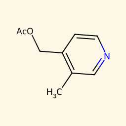 CC(=O)OCc1ccncc1C